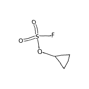 O=S(=O)(F)OC1CC1